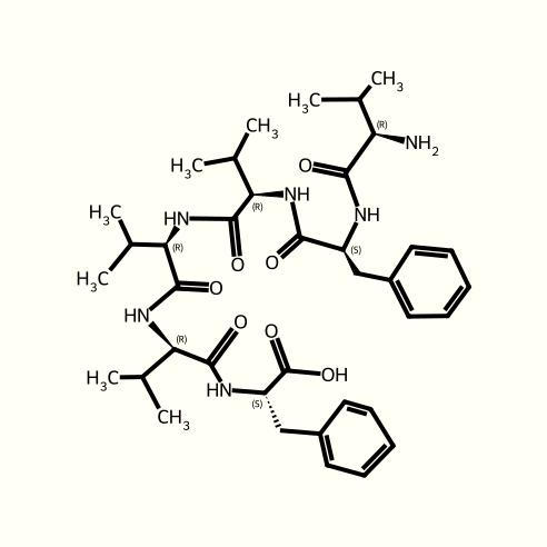 CC(C)[C@@H](N)C(=O)N[C@@H](Cc1ccccc1)C(=O)N[C@@H](C(=O)N[C@@H](C(=O)N[C@@H](C(=O)N[C@@H](Cc1ccccc1)C(=O)O)C(C)C)C(C)C)C(C)C